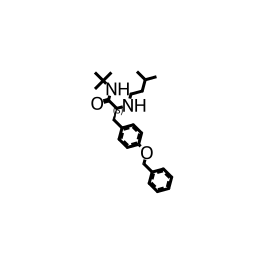 CC(C)CCN[C@@H](Cc1ccc(OCc2ccccc2)cc1)C(=O)NC(C)(C)C